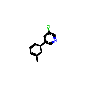 CC1=CC=CC(c2cncc(Cl)c2)C1